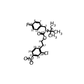 CC(C)(C)N(Cc1ccc(F)cc1)C(=O)OCCc1ccc([N+](=O)[O-])cc1Cl